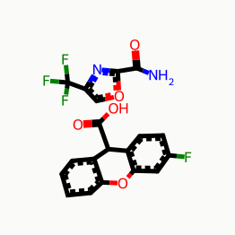 NC(=O)c1nc(C(F)(F)F)co1.O=C(O)C1c2ccccc2Oc2cc(F)ccc21